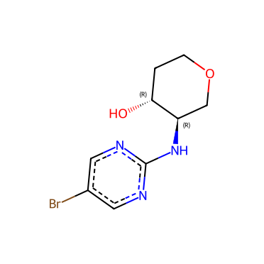 O[C@@H]1CCOC[C@H]1Nc1ncc(Br)cn1